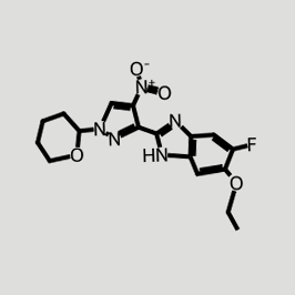 CCOc1cc2[nH]c(-c3nn(C4CCCCO4)cc3[N+](=O)[O-])nc2cc1F